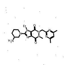 CCn1c(N2CCCC(N)C2)nc2c(=O)n(C)n(Cc3nc(C)cc(C)n3)c(=O)c21